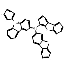 c1ccc(-n2c3ccccc3c3cc(N(c4ccc5c(c4)sc4ccccc45)c4cccc5c4oc4ccccc45)ccc32)cc1